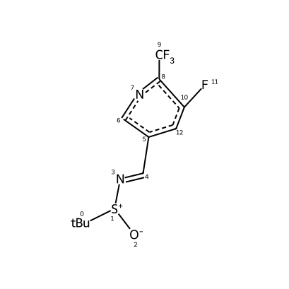 CC(C)(C)[S+]([O-])N=Cc1cnc(C(F)(F)F)c(F)c1